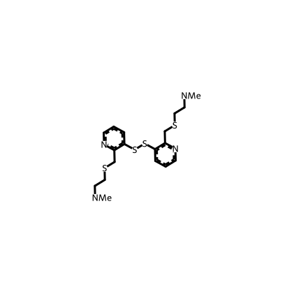 CNCCSCc1ncccc1SSc1cccnc1CSCCNC